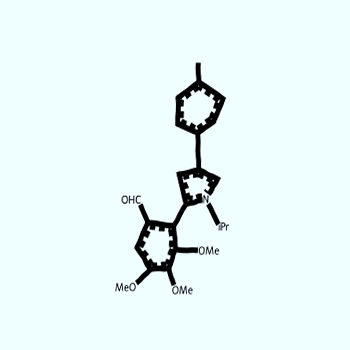 COc1cc(C=O)c(-c2cc(-c3ccc(C)cc3)cn2C(C)C)c(OC)c1OC